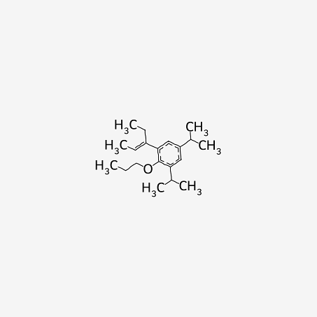 CC=C(CC)c1cc(C(C)C)cc(C(C)C)c1OCCC